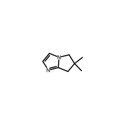 CC1(C)Cc2nccn2C1